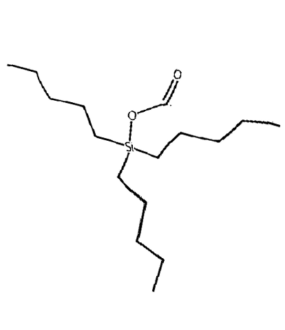 CCCCC[Si](CCCCC)(CCCCC)O[C]=O